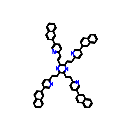 C(=Cc1nc(C=Cc2ccc(-c3ccc4ccccc4c3)cn2)c(C=Cc2ccc(-c3ccc4ccccc4c3)cn2)nc1C=Cc1ccc(-c2ccc3ccccc3c2)cn1)c1ccc(-c2ccc3ccccc3c2)cn1